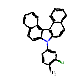 Cc1ccc(-n2c3ccc4ccccc4c3c3c4ccccc4ccc32)cc1Cl